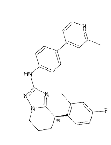 Cc1cc(-c2ccc(Nc3nc4n(n3)CCC[C@@H]4c3ccc(F)cc3C)cc2)ccn1